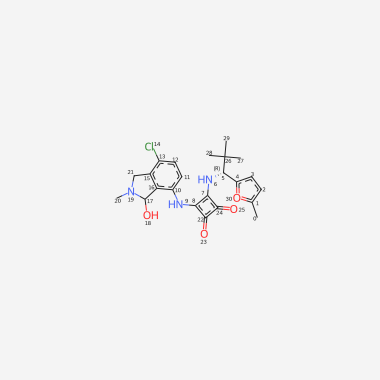 Cc1ccc([C@H](Nc2c(Nc3ccc(Cl)c4c3C(O)N(C)C4)c(=O)c2=O)C(C)(C)C)o1